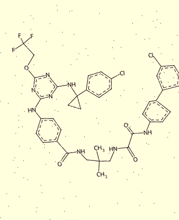 CC(C)(CNC(=O)C(=O)Nc1ccc(-c2cccc(Cl)c2)cc1)CNC(=O)c1ccc(Nc2nc(NC3(c4ccc(Cl)cc4)CC3)nc(OCC(F)(F)F)n2)cc1